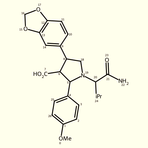 COc1ccc(C2C(C(=O)O)C(c3ccc4c(c3)OCO4)CN2C(C(N)=O)C(C)C)cc1